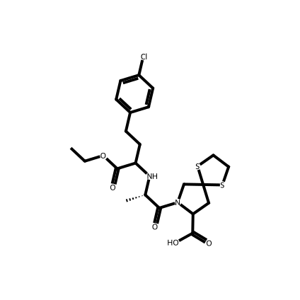 CCOC(=O)C(CCc1ccc(Cl)cc1)N[C@@H](C)C(=O)N1CC2(CC1C(=O)O)SCCS2